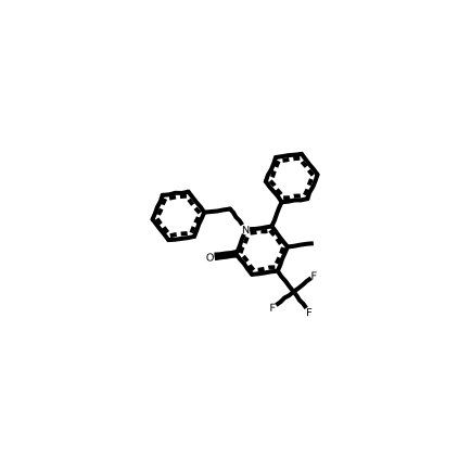 Cc1c(C(F)(F)F)cc(=O)n(Cc2ccccc2)c1-c1ccccc1